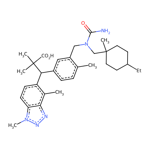 CCC1CCC(C)(CN(Cc2cc(C(c3ccc4c(nnn4C)c3C)C(C)(C)C(=O)O)ccc2C)C(N)=O)CC1